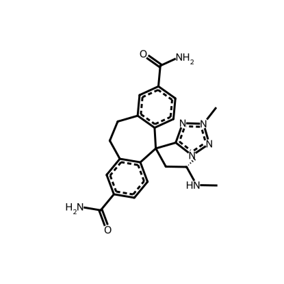 CN[C@@H](C)CC1(c2nnn(C)n2)c2ccc(C(N)=O)cc2CCc2cc(C(N)=O)ccc21